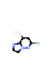 Bc1cc(Cl)nn2ccnc12